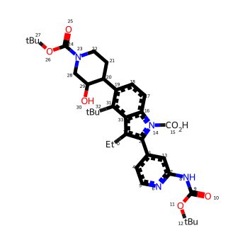 CCc1c(-c2ccnc(NC(=O)OC(C)(C)C)c2)n(C(=O)O)c2ccc(C3CCN(C(=O)OC(C)(C)C)CC3O)c(C(C)(C)C)c12